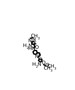 COC(C)COC1CN(c2ccc3c(n2)CCC(NC(=O)c2sc4nc(C)cnc4c2N)C3)CC1N